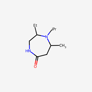 CCC1CNC(=O)CC(C)N1C(C)C